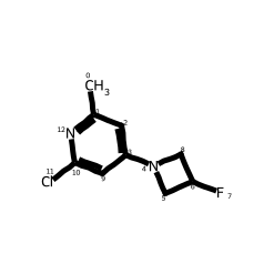 Cc1cc(N2CC(F)C2)cc(Cl)n1